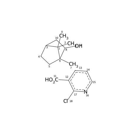 CC1(C)C2CCC1(C)C(O)C2.O=C(O)c1cccnc1Cl